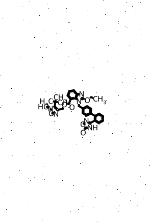 CCOc1nc2cccc(C(=O)OCc3no[n+](O)c3C(C)(C)C)c2n1Cc1ccc(-c2ccccc2-c2noc(=O)[nH]2)cc1